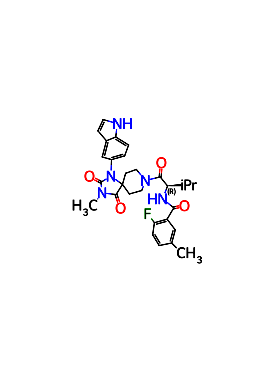 Cc1ccc(F)c(C(=O)N[C@@H](C(=O)N2CCC3(CC2)C(=O)N(C)C(=O)N3c2ccc3[nH]ccc3c2)C(C)C)c1